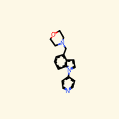 c1cc(CN2CCOCC2)c2ccn(-c3ccncc3)c2c1